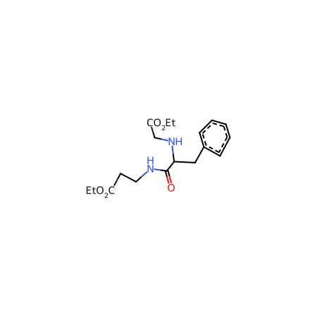 CCOC(=O)CCNC(=O)C(Cc1ccccc1)NCC(=O)OCC